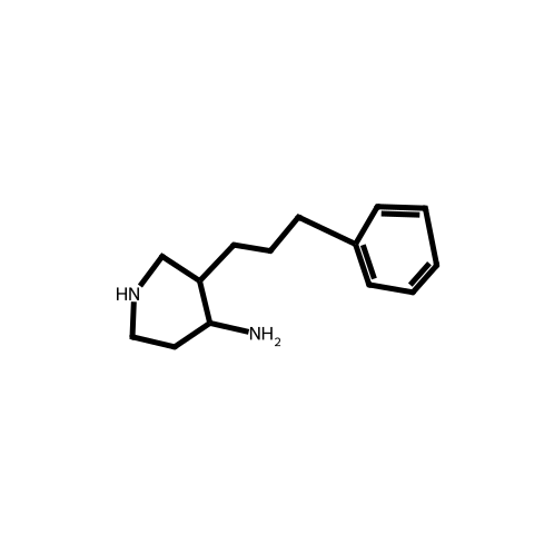 NC1CCNCC1CCCc1ccccc1